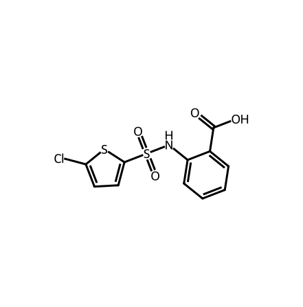 O=C(O)c1ccccc1NS(=O)(=O)c1ccc(Cl)s1